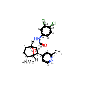 CN[C@@H]1CC[C@H]2O[C@@H]1[C@H](c1ccnc(C)c1)[C@H]2C(=O)Nc1ccc(Cl)c(Cl)c1